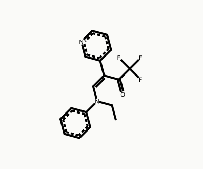 CCN(/C=C(\C(=O)C(F)(F)F)c1cccnc1)c1ccccc1